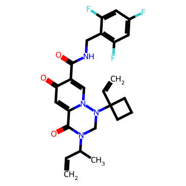 C=CC(C)N1CN(C2(C=C)CCC2)n2cc(C(=O)NCc3c(F)cc(F)cc3F)c(=O)cc2C1=O